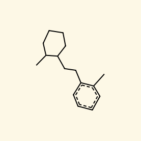 Cc1ccccc1CCC1CCCCC1C